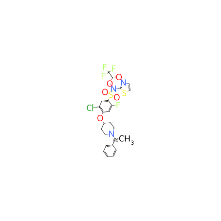 C[C@H](c1ccccc1)N1CCC(Oc2cc(F)c(S(=O)(=O)N(OC(=O)C(F)(F)F)c3nccs3)cc2Cl)CC1